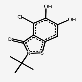 CC(C)(C)n1sc2cc(O)c(O)c(Cl)c2c1=O